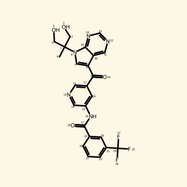 CC(CO)(CO)n1cc(C(=O)c2cncc(NC(=O)c3cccc(C(F)(F)F)c3)c2)c2cncnc21